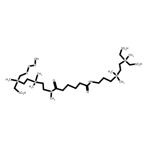 CN(CC[N+](C)(C)CC[N+](C)(CSOOO)CS(=O)(=O)O)C(=O)CCCCC(=O)NCCC[N+](C)(C)CC[N+](C)(CS(=O)(=O)O)CS(=O)(=O)O